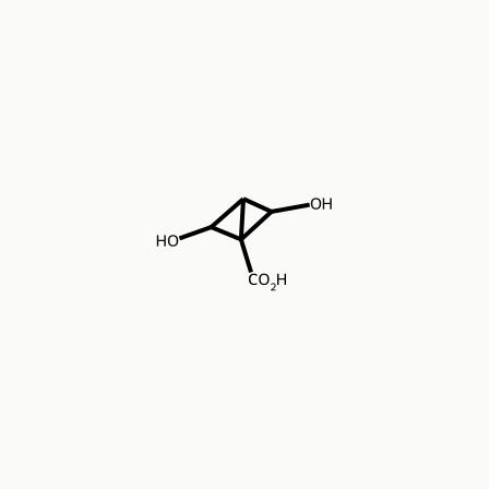 O=C(O)C12C(O)C1C2O